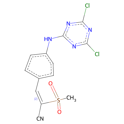 CS(=O)(=O)/C(C#N)=C\c1ccc(Nc2nc(Cl)nc(Cl)n2)cc1